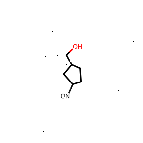 O=NC1CCC(CO)C1